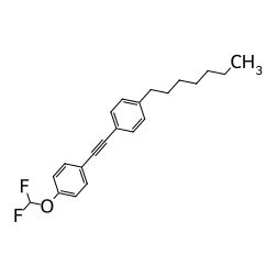 CCCCCCCc1ccc(C#Cc2ccc(OC(F)F)cc2)cc1